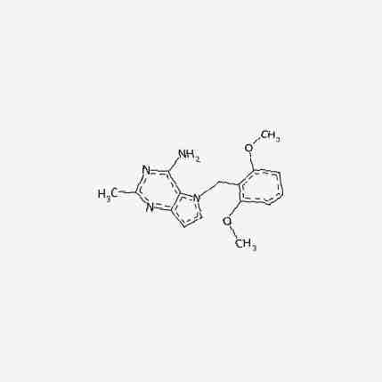 COc1cccc(OC)c1Cn1ccc2nc(C)nc(N)c21